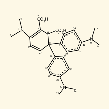 CN(C)C1=C(C(=O)O)C(C(=O)O)C(c2ccc(N(C)C)cc2)(c2ccc(N(C)C)cc2)C=C1